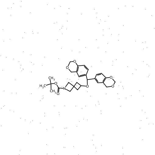 CC(C)(C)OC(=O)N1CC2(CC(OC(c3ccc4c(c3)COCO4)c3ccc4c(c3)COCO4)C2)C1